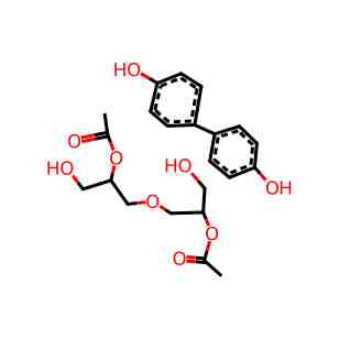 CC(=O)OC(CO)COCC(CO)OC(C)=O.Oc1ccc(-c2ccc(O)cc2)cc1